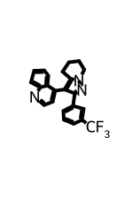 FC(F)(F)c1cccc(-c2nn3c(c2-c2ccnc4ccccc24)CCCC3)c1